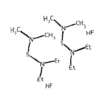 CCN(CC)SN(C)C.CCN(CC)SN(C)C.F.F